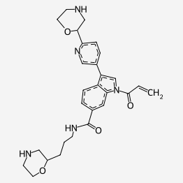 C=CC(=O)n1cc(-c2ccc(C3CNCCO3)nc2)c2ccc(C(=O)NCCCC3CNCCO3)cc21